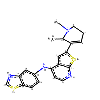 CC(C)N1CCC=C(c2cc3c(Nc4ccc5scnc5c4)ccnc3s2)C1C